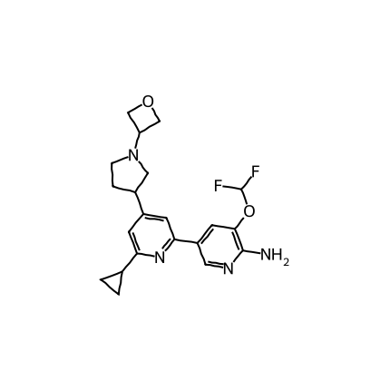 Nc1ncc(-c2cc(C3CCN(C4COC4)C3)cc(C3CC3)n2)cc1OC(F)F